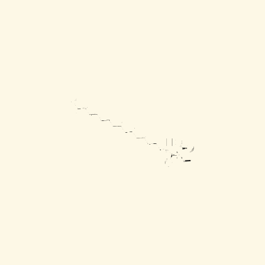 C=CN(C(=O)O)C(=O)CCCCCCCCCCCCCCCCC